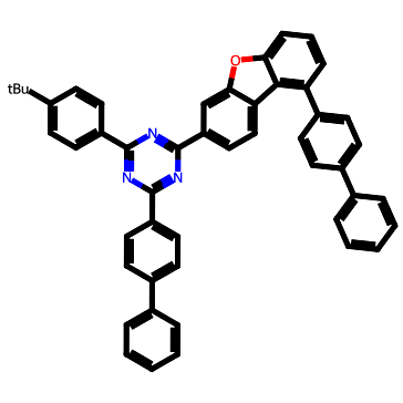 CC(C)(C)c1ccc(-c2nc(-c3ccc(-c4ccccc4)cc3)nc(-c3ccc4c(c3)oc3cccc(-c5ccc(-c6ccccc6)cc5)c34)n2)cc1